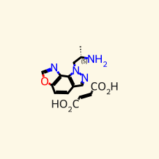 C[C@H](N)Cn1ncc2ccc3ocnc3c21.O=C(O)C=CC(=O)O